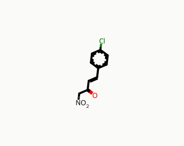 O=C(C=Cc1ccc(Cl)cc1)C[N+](=O)[O-]